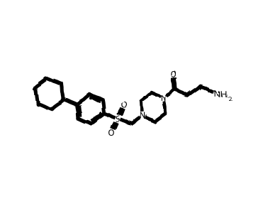 NCCC(=O)N1CCN(CS(=O)(=O)c2ccc(C3CCCCC3)cc2)CC1